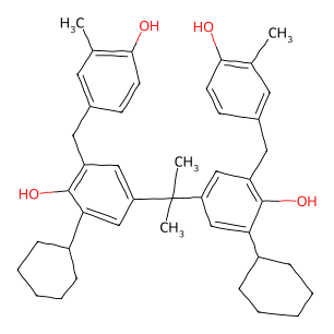 Cc1cc(Cc2cc(C(C)(C)c3cc(Cc4ccc(O)c(C)c4)c(O)c(C4CCCCC4)c3)cc(C3CCCCC3)c2O)ccc1O